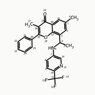 Cc1cc(C(C)Nc2ccc(C(F)(F)F)nc2)c2oc(-c3ccccc3)c(C)c(=O)c2c1